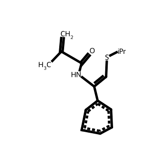 C=C(C)C(=O)NC(=CSC(C)C)c1ccccc1